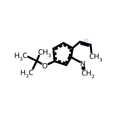 C=Nc1cc(OC(C)(C)C)ccc1/C=C\C